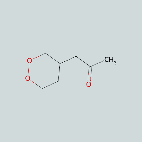 CC(=O)CC1CCOOC1